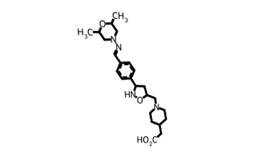 CC1CN(N=Cc2ccc(C3CC(CN4CCC(CC(=O)O)CC4)ON3)cc2)CC(C)O1